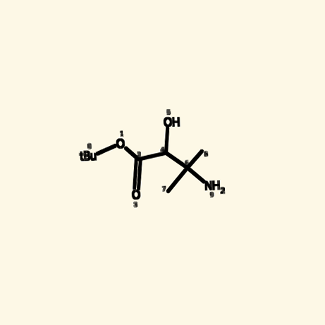 CC(C)(C)OC(=O)C(O)C(C)(C)N